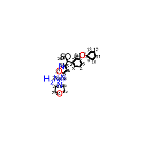 CC(c1cccc(Oc2ccccc2)c1)c1cc(/N=C(\N)N2CCOCC2)on1.CS(=O)(=O)O